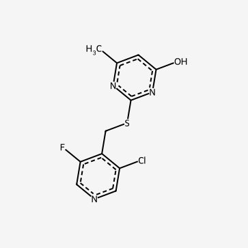 Cc1cc(O)nc(SCc2c(F)cncc2Cl)n1